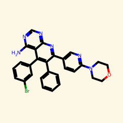 Nc1ncnc2nc(-c3ccc(N4CCOCC4)nc3)c(-c3ccccc3)c(-c3cccc(Br)c3)c12